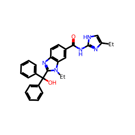 CCc1c[nH]c(NC(=O)c2ccc3nc(C(O)(c4ccccc4)c4ccccc4)n(CC)c3c2)n1